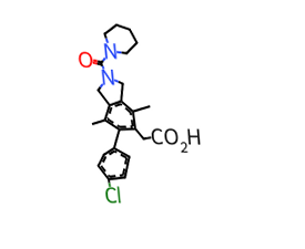 Cc1c2c(c(C)c(-c3ccc(Cl)cc3)c1CC(=O)O)CN(C(=O)N1CCCCC1)C2